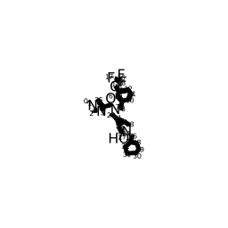 Cn1cnc(C(=O)N(Cc2cccc(OC(F)(F)F)c2)CC2C3CN(CC4(O)CCCCC4)CC32)c1